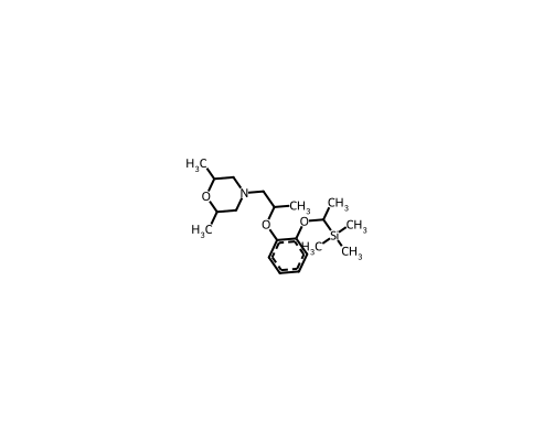 CC(CN1CC(C)OC(C)C1)Oc1ccccc1OC(C)[Si](C)(C)C